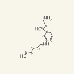 NCCC(O)c1cccc(NCCCCCO)c1